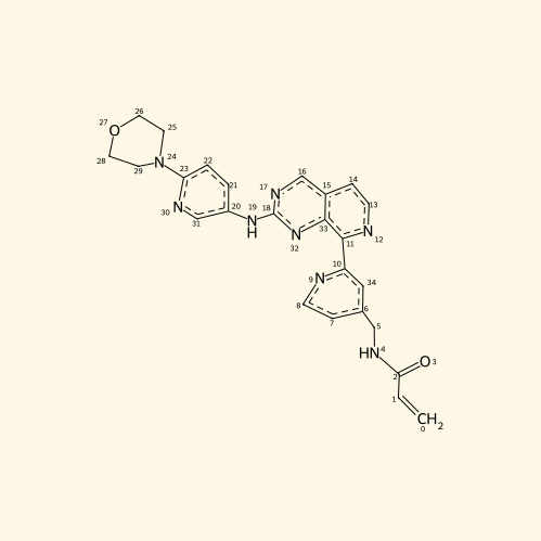 C=CC(=O)NCc1ccnc(-c2nccc3cnc(Nc4ccc(N5CCOCC5)nc4)nc23)c1